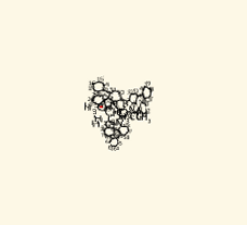 CC1(C)N(C2CC3=C4B(C5CCC(C6CCCCC6)C6C5N3C(C)(C)C63CCCCC3)C3CCC(C5CCCCC5)C5C3N(C4C2)C(C)(C)C52CCCCC2)C2=CCCC(C3CCCCC3)=C2C12CCCCC2